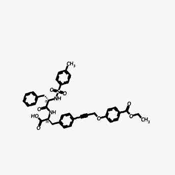 CCOC(=O)c1ccc(OCC#Cc2ccc(C[C@H](NC(=O)[C@H](Cc3ccccc3)NS(=O)(=O)c3ccc(C)cc3)C(=O)O)cc2)cc1